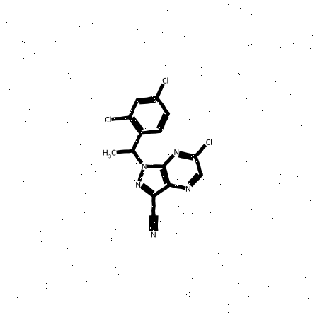 CC(c1ccc(Cl)cc1Cl)n1nc(C#N)c2ncc(Cl)nc21